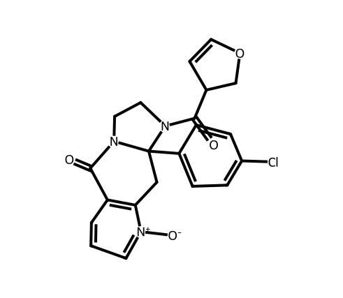 O=C1c2ccc[n+]([O-])c2CC2(c3ccc(Cl)cc3)N1CCN2C(=O)C1C=COC1